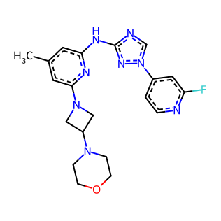 Cc1cc(Nc2ncn(-c3ccnc(F)c3)n2)nc(N2CC(N3CCOCC3)C2)c1